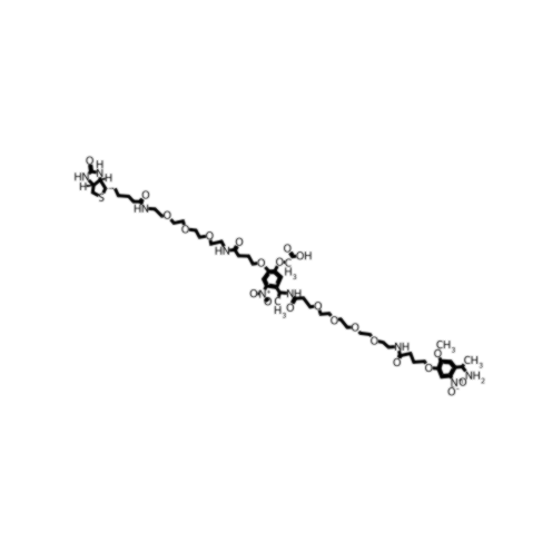 COc1cc(C(C)NC(=O)CCOCCOCCOCCOCCNC(=O)CCCOc2cc([N+](=O)[O-])c(C(C)N)cc2OC)c([N+](=O)[O-])cc1OCCCC(=O)NCCOCCOCCOCCNC(=O)CCCC[C@@H]1SC[C@@H]2NC(=O)N[C@@H]21.O=CO